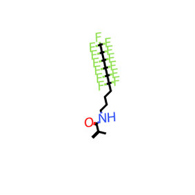 C=C(C)C(=O)NCCCCC(F)(F)C(F)(F)C(F)(F)C(F)(F)C(F)(F)C(F)(F)F